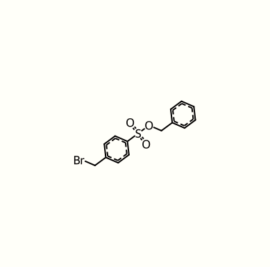 O=S(=O)(OCc1ccccc1)c1ccc(CBr)cc1